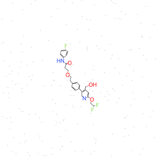 O=C(CCOCCc1ccc(-c2cnc(OCC(F)F)cc2CO)cc1)Nc1ccc(F)cc1